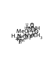 COC1c2c(c(=O)[nH]c(=O)n2C2CC2)C(C)=C(F)C1N1CC2CC(F)(F)C(N)C2C1